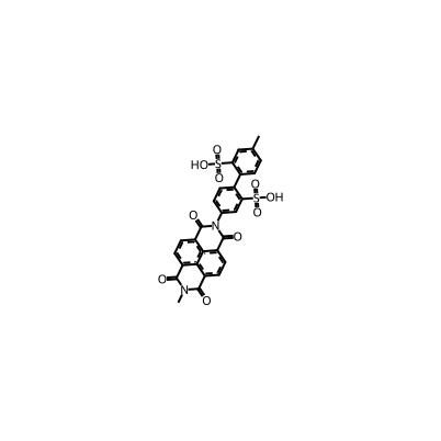 Cc1ccc(-c2ccc(N3C(=O)c4ccc5c6c(ccc(c46)C3=O)C(=O)N(C)C5=O)cc2S(=O)(=O)O)c(S(=O)(=O)O)c1